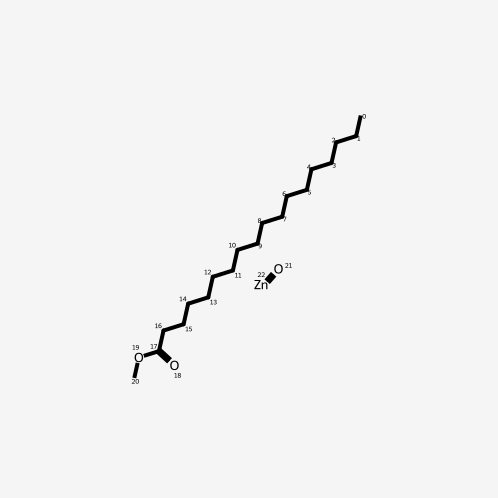 CCCCCCCCCCCCCCCCCC(=O)OC.[O]=[Zn]